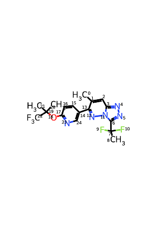 Cc1cc2nnc(C(C)(F)F)n2nc1-c1ccc(OC(C)(C)C(F)(F)F)nc1